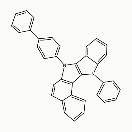 c1ccc(-c2ccc(-n3c4ccc5ccccc5c4c4c3c3ccccc3n4-c3ccccc3)cc2)cc1